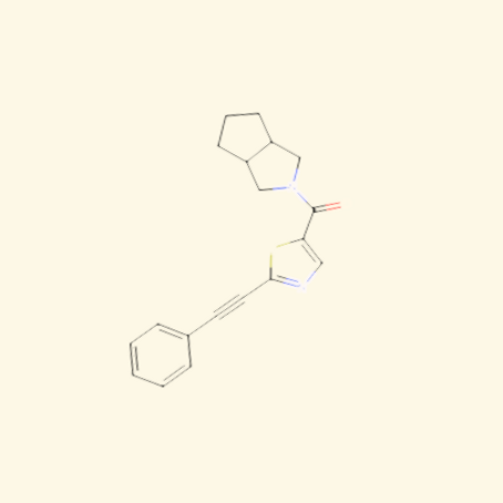 O=C(c1cnc(C#Cc2ccccc2)s1)N1CC2CCCC2C1